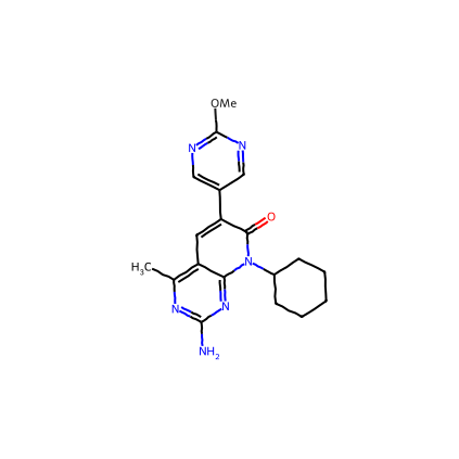 COc1ncc(-c2cc3c(C)nc(N)nc3n(C3CCCCC3)c2=O)cn1